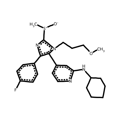 COCCCn1c([S+](C)[O-])nc(-c2ccc(F)cc2)c1-c1ccnc(NC2CCCCC2)c1